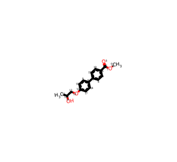 COC(=O)c1ccc(-c2ccc(OCC(C)O)cc2)cc1